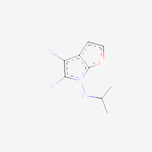 CC(C)Nn1c(N)c(N)c2ccoc21